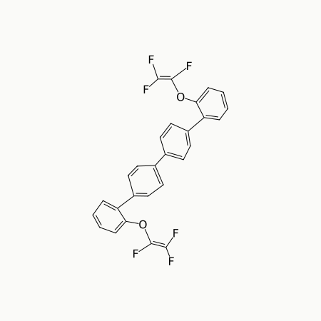 FC(F)=C(F)Oc1ccccc1-c1ccc(-c2ccc(-c3ccccc3OC(F)=C(F)F)cc2)cc1